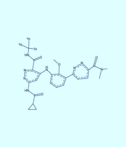 [2H]C([2H])([2H])NC(=O)c1nnc(NC(=O)C2CC2)cc1Nc1cccc(-c2ccc(C(=O)N(C)C)nn2)c1OC